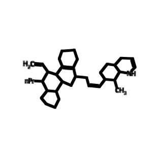 C=CC1C(CCC)C2CCCCC2C2CC(C/C=C\C3CCC4CC=CNC4C3C)C3=C(CCCC3)C12